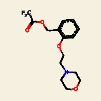 O=C(OCc1ccccc1OCCN1CCOCC1)C(F)(F)F